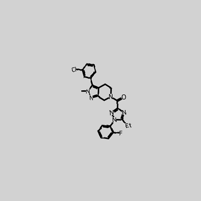 CCc1nc(C(=O)N2CCc3c(nn(C)c3-c3cccc(Cl)c3)C2)nn1-c1ccccc1F